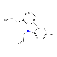 C=CCn1c2ccc(C)cc2c2cccc(CCC(C)CC)c21